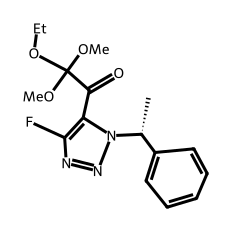 CCOC(OC)(OC)C(=O)c1c(F)nnn1[C@H](C)c1ccccc1